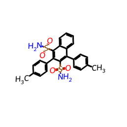 Cc1ccc(-c2c(S(N)(=O)=O)c(-c3ccc(C)cc3)c3ccccc3c2S(N)(=O)=O)cc1